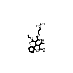 CCOC(=O)C1=C(COCCNO)NC(C)=C(C(=O)OC)C1c1ccccc1Cl